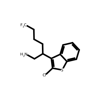 NCC(CCCC(F)(F)F)c1c(Cl)sc2ccccc12